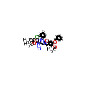 COc1cc(CN(CCNC(=O)OC(C)(C)C)C(=O)Nc2ccccc2Cl)ccc1OCc1ccccc1